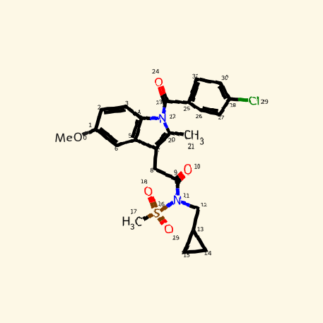 COc1ccc2c(c1)c(CC(=O)N(CC1CC1)S(C)(=O)=O)c(C)n2C(=O)c1ccc(Cl)cc1